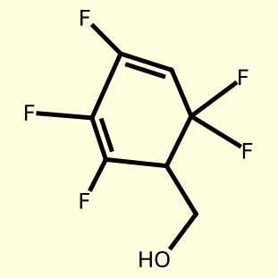 OCC1C(F)=C(F)C(F)=CC1(F)F